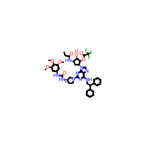 CCC(=O)N[C@H]1C[C@@H](n2cnc3c(NCC(c4ccccc4)c4ccccc4)nc(N4CC[C@@H](NC(=O)Nc5cc(OC)c(OC)c(OC)c5)C4)nc32)[C@H](OC(=O)C(F)(F)F)[C@@H]1O